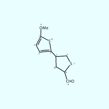 COc1ccc(C2CSC(C=O)C2)s1